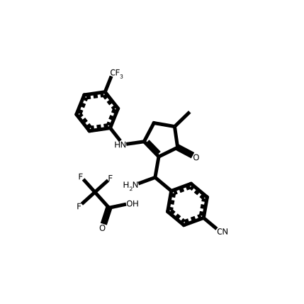 CC1CC(Nc2cccc(C(F)(F)F)c2)=C(C(N)c2ccc(C#N)cc2)C1=O.O=C(O)C(F)(F)F